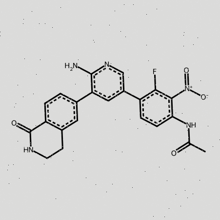 CC(=O)Nc1ccc(-c2cnc(N)c(-c3ccc4c(c3)CCNC4=O)c2)c(F)c1[N+](=O)[O-]